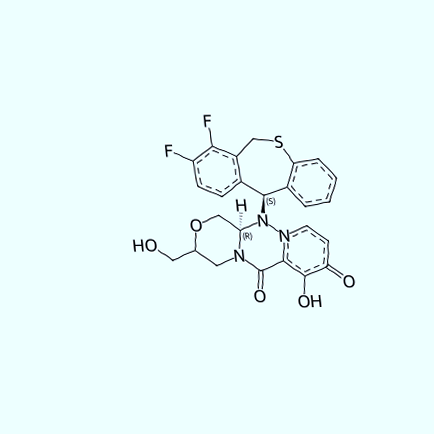 O=C1c2c(O)c(=O)ccn2N([C@@H]2c3ccccc3SCc3c2ccc(F)c3F)[C@@H]2COC(CO)CN12